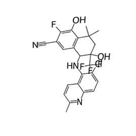 Cc1ccc2c(NC3c4cc(C#N)c(F)c(O)c4C(C)(C)CC3(O)C(F)(F)F)c(Cl)ccc2n1